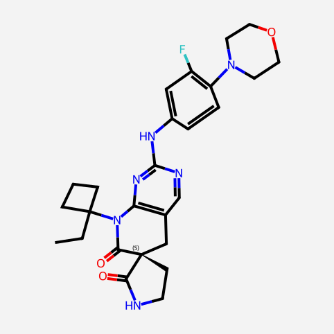 CCC1(N2C(=O)[C@]3(CCNC3=O)Cc3cnc(Nc4ccc(N5CCOCC5)c(F)c4)nc32)CCC1